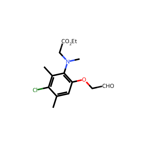 CCOC(=O)CN(C)c1c(OCC=O)cc(C)c(Cl)c1C